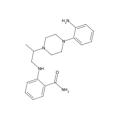 CC(CNc1ccccc1C(N)=O)N1CCN(c2ccccc2N)CC1